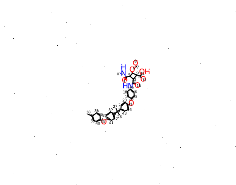 CNC(=O)C1C(OC=O)C(C(=O)O)C1C(=O)Nc1ccc(Oc2ccc(C(C)(C)c3ccc(Oc4ccc(C)cc4)cc3)cc2)cc1